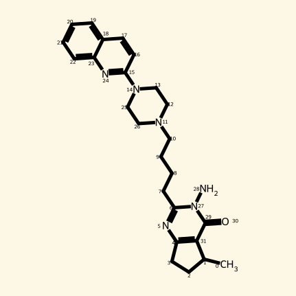 CC1CCc2nc(CCCCN3CCN(c4ccc5ccccc5n4)CC3)n(N)c(=O)c21